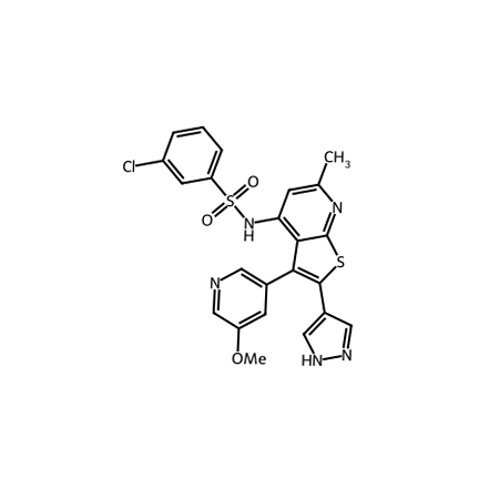 COc1cncc(-c2c(-c3cn[nH]c3)sc3nc(C)cc(NS(=O)(=O)c4cccc(Cl)c4)c23)c1